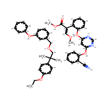 CCOc1ccc(C(C)(C)COCc2cccc(Oc3ccccc3)c2)cc1.CO/C=C(/C(=O)OC)c1ccccc1Oc1cc(Oc2ccccc2C#N)ncn1